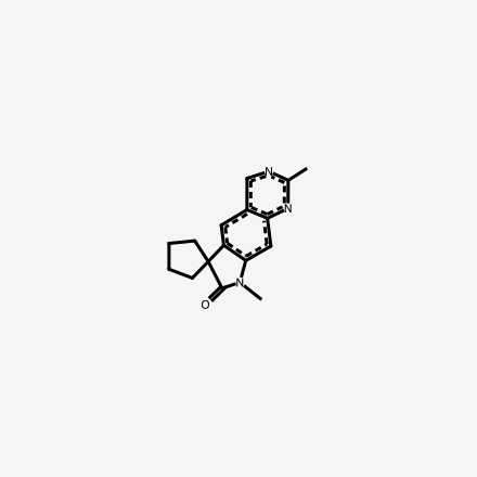 Cc1ncc2cc3c(cc2n1)N(C)C(=O)C31CCCC1